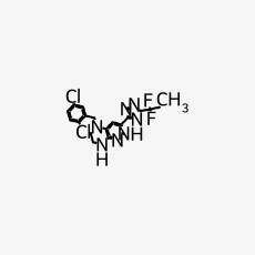 CCC(F)(F)c1nnc(-c2cc3c(nn2)NCCN3Cc2cc(Cl)ccc2Cl)[nH]1